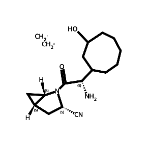 N#C[C@@H]1C[C@@H]2C[C@@H]2N1C(=O)[C@@H](N)[C]1CCCCCC(O)C1.[CH2].[CH2]